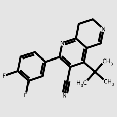 CC(C)(C)c1c(C#N)c(-c2ccc(F)c(F)c2)nc2c1C=NCC2